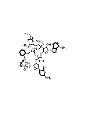 CSSC(CCC(NC(=O)OC(C)(C)C)C(=O)O)(CNC(=O)OCc1ccccc1N=[N+]=[N-])[C@H]1[C@@H](O)[C@H](n2cnc3c(N)ncnc32)O[C@H]1COP(=O)(O)O[C@H]1C[C@H](n2ccc(N)nc2=O)O[C@@H]1COP(=O)(O)O